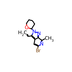 C=Cc1c2cc(Br)nc(C)c2nn1C1CCCCO1